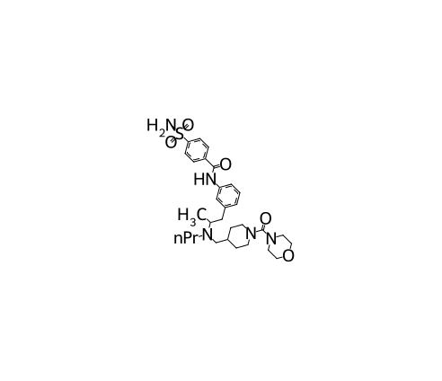 CCCN(CC1CCN(C(=O)N2CCOCC2)CC1)C(C)Cc1cccc(NC(=O)c2ccc(S(N)(=O)=O)cc2)c1